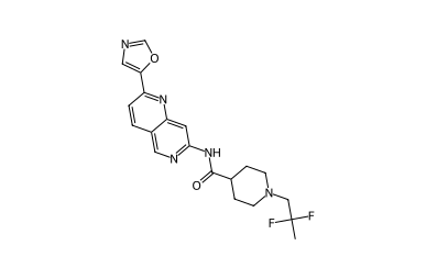 CC(F)(F)CN1CCC(C(=O)Nc2cc3nc(-c4cnco4)ccc3cn2)CC1